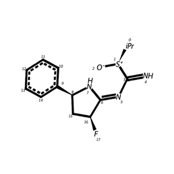 CC(C)[S@+]([O-])C(=N)/N=C1\N[C@H](c2ccccc2)C[C@@H]1F